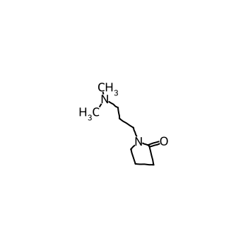 CN(C)CCCN1CCCC1=O